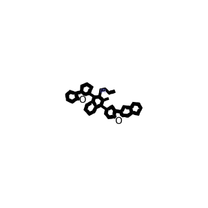 C=C/C=C\c1c(C)c(-c2ccc3oc4cc5ccccc5cc4c3c2)c2ccccc2c1-c1cccc2c1oc1ccccc12